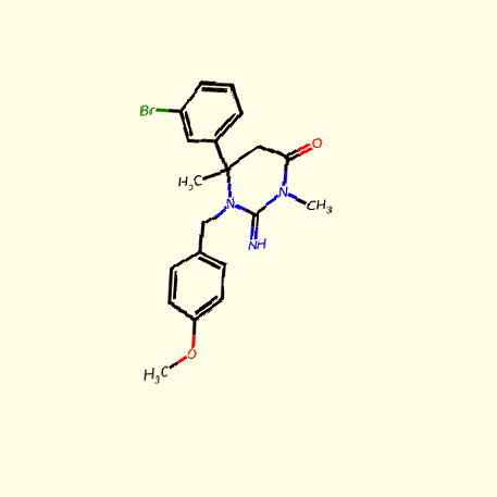 COc1ccc(CN2C(=N)N(C)C(=O)CC2(C)c2cccc(Br)c2)cc1